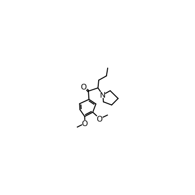 CCCC(C(=O)c1ccc(OC)c(OC)c1)N1CCCC1